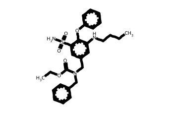 CCCCNc1cc(CN(Cc2ccccc2)C(=O)OCC)cc(S(N)(=O)=O)c1Oc1ccccc1